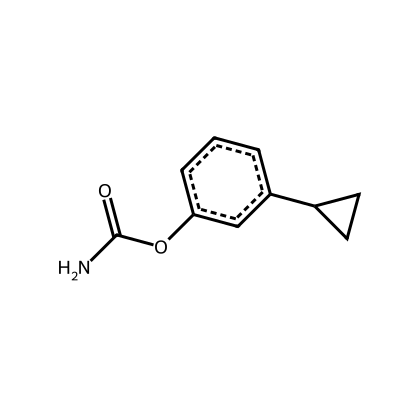 NC(=O)Oc1cccc(C2CC2)c1